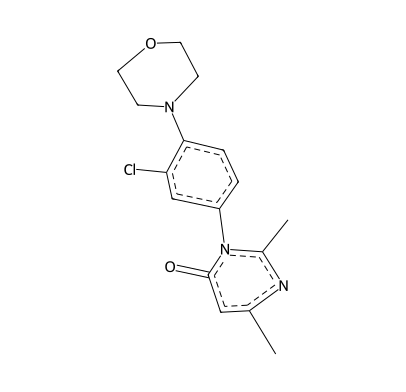 Cc1cc(=O)n(-c2ccc(N3CCOCC3)c(Cl)c2)c(C)n1